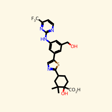 CC1(C)CC(c2ncc(-c3cc(CO)cc(Nc4nccc(C(F)(F)F)n4)c3)s2)CCC1(O)C(=O)O